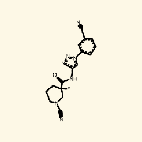 N#Cc1cccc(-n2cc(NC(=O)C3(F)CCCN(C#N)C3)nn2)c1